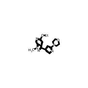 CCOc1cc2c(-c3ccnc(N4CCOCC4)c3)nn(C)c2cn1